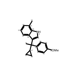 COc1ccc(C(C)(c2c[nH]c3c(C)cccc23)C2CC2)cc1